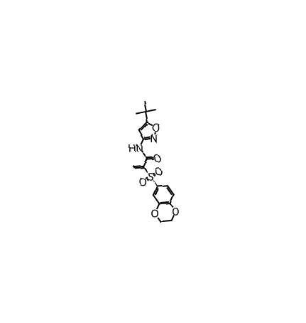 C=C(C(=O)Nc1cc(C(C)(C)C)on1)S(=O)(=O)c1ccc2c(c1)OCCO2